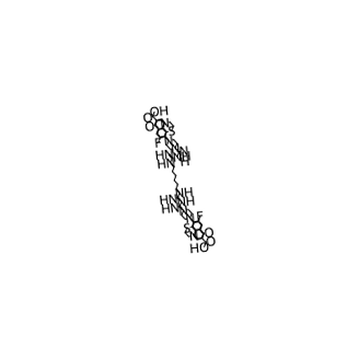 N=C(NCCCCCCNC(=N)NC(=N)N1CCN(c2c(F)cc3c(=O)c(C(=O)O)cn4c3c2SCC4)CC1)NC(=N)N1CCN(c2c(F)cc3c(=O)c(C(=O)O)cn4c3c2SCC4)CC1